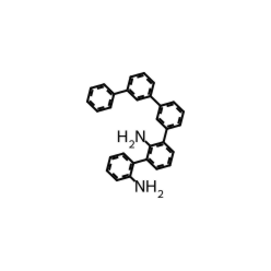 Nc1ccccc1-c1cccc(-c2cccc(-c3cccc(-c4ccccc4)c3)c2)c1N